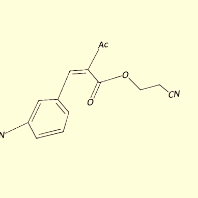 CC(=O)/C(=C/c1cccc([N+](=O)[O-])c1)C(=O)OCCC#N